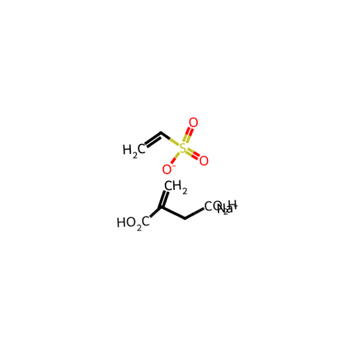 C=C(CC(=O)O)C(=O)O.C=CS(=O)(=O)[O-].[Na+]